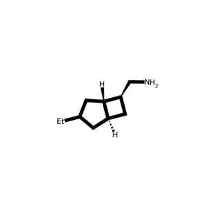 CCC1C[C@@H]2C[C@H](CN)[C@H]2C1